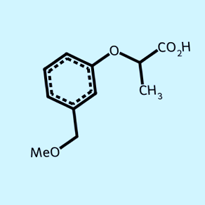 COCc1cccc(OC(C)C(=O)O)c1